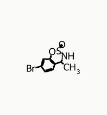 CC1NS(=O)Oc2cc(Br)ccc21